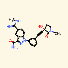 CNC(=N)c1ccc2c(c1)c(C(N)=O)nn2-c1cccc(C#C[C@]2(O)CCN(C)C2=O)c1